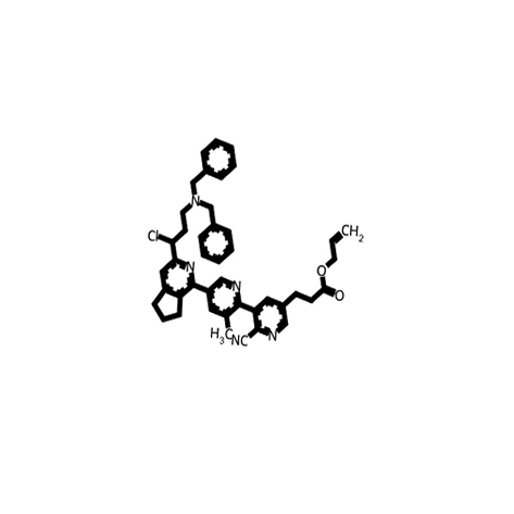 C=CCOC(=O)CCc1cnc(C#N)c(-c2ncc(-c3nc(C(Cl)CCN(Cc4ccccc4)Cc4ccccc4)cc4c3CCC4)cc2C)c1